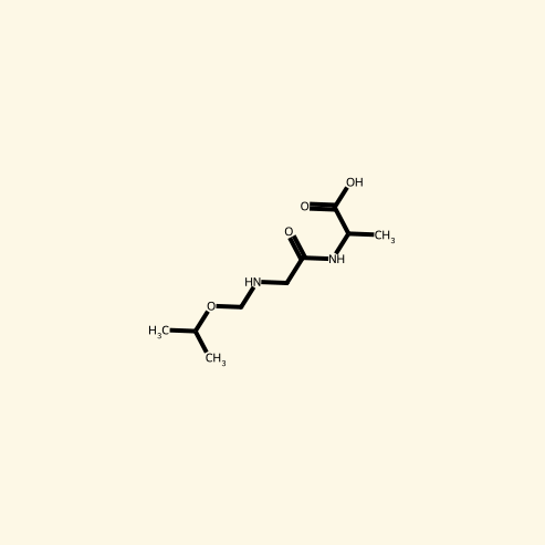 CC(C)OCNCC(=O)NC(C)C(=O)O